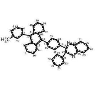 Cc1cncc(-c2c3ccccc3c(-c3ccc(-c4nc5ccccc5nc4-c4ccccc4)cc3)c3ccccc23)c1